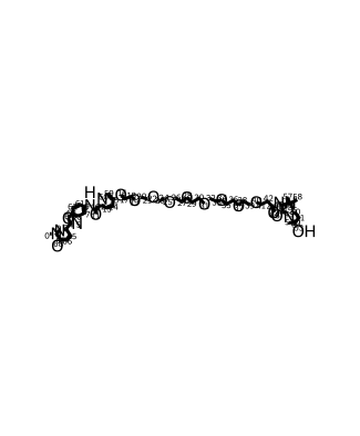 Cn1nc(-c2nc3cc(NC(=O)c4ccc(OCCOCCOCCOCCOCCOCCOCCOCCOCCC(=O)N[C@H](C(=O)N5CC[C@@H](O)C5)C(C)(C)C)cn4)ccc3o2)ccc1=O